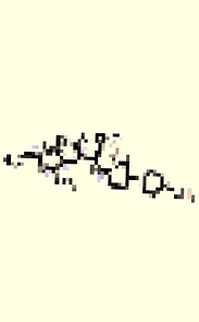 C\C=C(C)/N=C(C)\C(=C\C(C(=CC=O)/N=c1/ccc(N2CCN(C)CC2)cn1C)=C(\C)CC)C(C)C